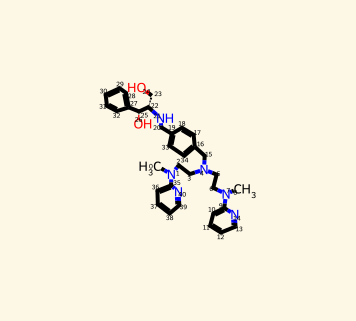 CN(CCN(CCN(C)c1ccccn1)Cc1ccc(CN[C@@H](CO)[C@H](O)c2ccccc2)cc1)c1ccccn1